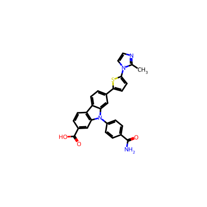 Cc1nccn1-c1ccc(-c2ccc3c4ccc(C(=O)O)cc4n(-c4ccc(C(N)=O)cc4)c3c2)s1